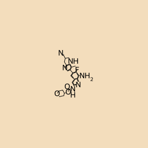 Cc1c(-c2cc3cc(NC(=O)OC4CCOCC4)ncc3c(N)c2F)cnc2c1NCC(C#N)C2